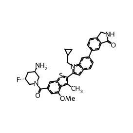 COc1cc(C(=O)N2C[C@H](N)C[C@@H](F)C2)cc2sc(-c3cc4ccc(-c5ccc6c(c5)C(=O)NC6)cc4n3CC3CC3)c(C)c12